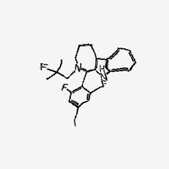 CC(C)(F)CN1CCCc2c([nH]c3ccccc23)C1c1c(F)cc(I)cc1F